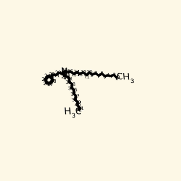 CCCCCCCCCCCCCCCCCc1nc(CCCc2ccccc2)cn1CCCCCCCCCCCC